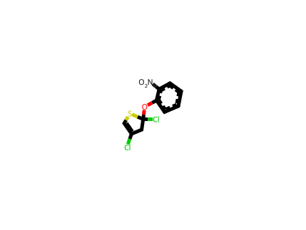 O=[N+]([O-])c1ccccc1OC1(Cl)CC(Cl)=CS1